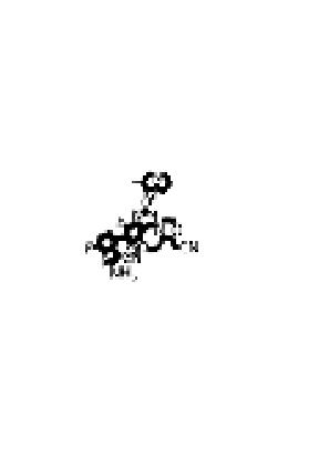 C[C@H]1CN2CCC[C@@]2(COc2nc3c4c(c(Cl)c(-c5ccc(F)c6sc(N)c(C#N)c56)c(F)c4n2)OCCC2C(CC#N)OCCN32)C1